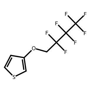 FC(F)(F)C(F)(F)C(F)(F)COc1ccsc1